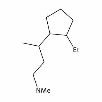 CCC1CCCC1C(C)CCNC